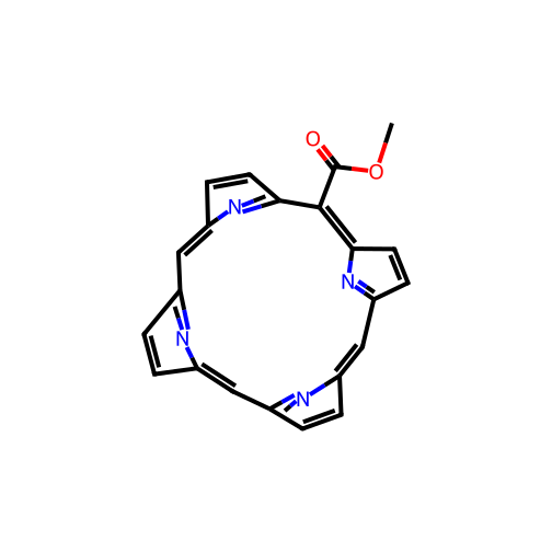 COC(=O)C1=C2C=CC(=N2)C=C2C=CC(=N2)C=C2C=CC(=N2)C=C2C=CC1=N2